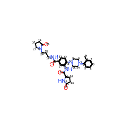 Cc1ccccc1N1CCN(c2ccc(C(=O)NCCCN3CCCC3=O)cc2NC(=O)C2CCC(=O)N2)CC1